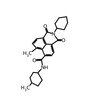 Cc1ccc2c3c(ccc(C(=O)NC4CCC(C)CC4)c13)C(=O)N(C1CCCCC1)C2=O